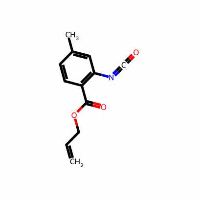 C=CCOC(=O)c1ccc(C)cc1N=C=O